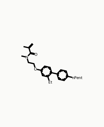 C=C(C)C(=O)N(C)CCOc1ccc(-c2ccc(CCCCC)cc2)c(CC)c1